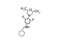 CC1CN(c2c(F)cc(NCC3CCCCC3)cc2F)CC(C)O1